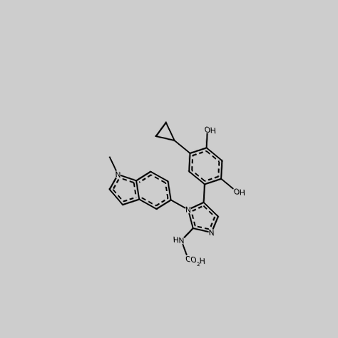 Cn1ccc2cc(-n3c(-c4cc(C5CC5)c(O)cc4O)cnc3NC(=O)O)ccc21